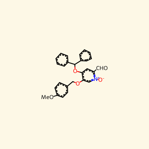 COc1ccc(COc2c[n+]([O-])c(C=O)cc2OC(c2ccccc2)c2ccccc2)cc1